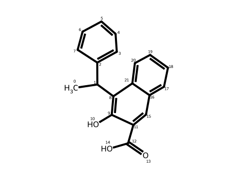 CC(c1ccccc1)c1c(O)c(C(=O)O)cc2ccccc12